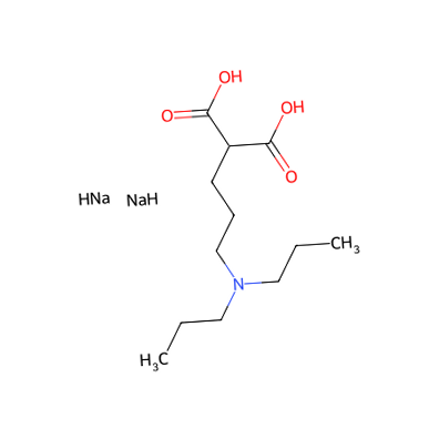 CCCN(CCC)CCCC(C(=O)O)C(=O)O.[NaH].[NaH]